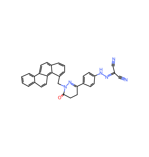 N#CC(C#N)=NNc1ccc(C2=NN(Cc3cccc4ccc5c6ccccc6ccc5c34)C(=O)CC2)cc1